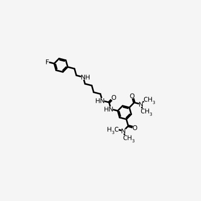 CN(C)C(=O)c1cc(NC(=O)NCCCCNCCc2ccc(F)cc2)cc(C(=O)N(C)C)c1